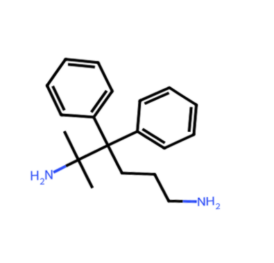 CC(C)(N)C(CCCN)(c1ccccc1)c1ccccc1